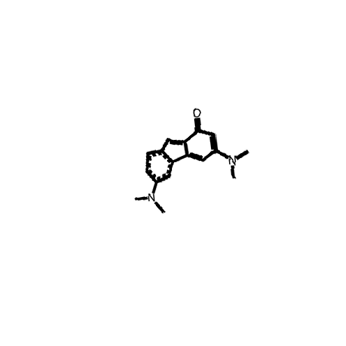 CN(C)C1=CC(=O)C2=Cc3ccc(N(C)C)cc3C2=C1